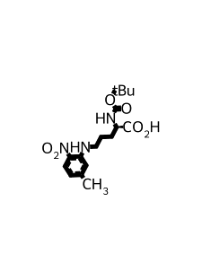 Cc1ccc([N+](=O)[O-])c(NCCC[C@@H](NC(=O)OC(C)(C)C)C(=O)O)c1